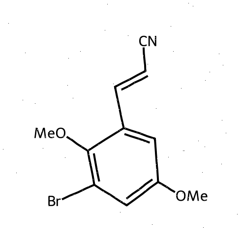 COc1cc(Br)c(OC)c(/C=C/C#N)c1